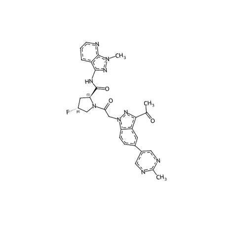 CC(=O)c1nn(CC(=O)N2C[C@H](F)C[C@H]2C(=O)Nc2nn(C)c3ncccc23)c2ccc(-c3cnc(C)nc3)cc12